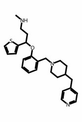 CNCCC(Oc1ccccc1CN1CCC(Cc2ccncc2)CC1)c1cccs1